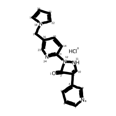 Cl.O=c1c(-c2cccnc2)c[nH]n1-c1ccc(Cn2cccc2)cn1